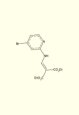 CCOC(=O)C(=CNc1cc(Br)ccn1)C(=O)OCC